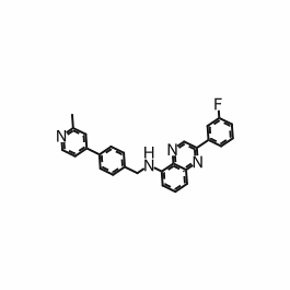 Cc1cc(-c2ccc(CNc3cccc4nc(-c5cccc(F)c5)cnc34)cc2)ccn1